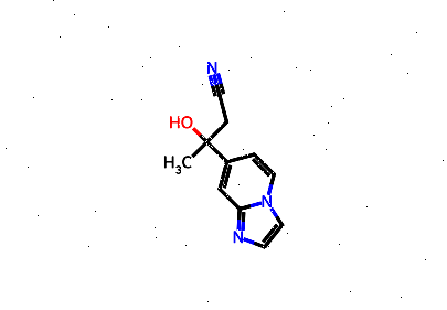 CC(O)(CC#N)c1ccn2ccnc2c1